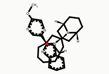 COc1cnc(-c2nc3ccccc3n2[C@@H]2C[C@H]3CCC[C@@H](C2)N3[C@H]2C[C@@H]3CCCC[C@@H](C3)C2)cn1